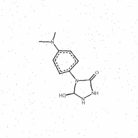 CN(C)c1ccc(N2C(=O)NNC2O)cc1